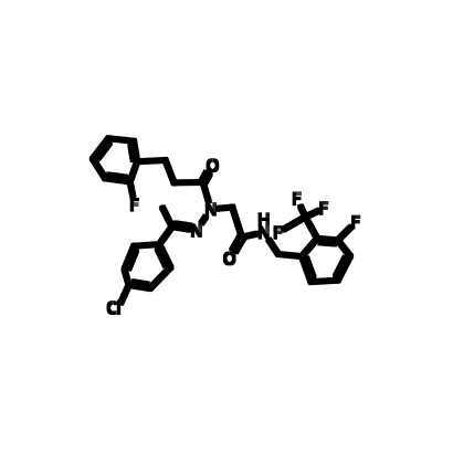 C/C(=N\N(CC(=O)NCc1cccc(F)c1C(F)(F)F)C(=O)CCc1ccccc1F)c1ccc(Cl)cc1